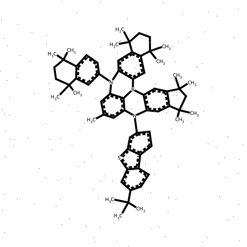 Cc1cc2c3c(c1)N(c1ccc4c(c1)sc1cc(C(C)(C)C)ccc14)c1cc4c(cc1B3c1cc3c(cc1N2c1ccc2c(c1)C(C)(C)CCC2(C)C)C(C)(C)CCC3(C)C)C(C)(C)CC4(C)C